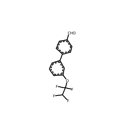 O=Cc1ccc(-c2cccc(OC(F)(F)C(F)F)c2)cc1